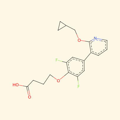 O=C(O)CCCOc1c(F)cc(-c2cccnc2OCC2CC2)cc1F